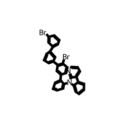 Brc1cccc(-c2cccc(-c3cc(-c4ccccc4-n4c5ccccc5c5cccnc54)ccc3Br)c2)c1